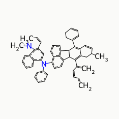 C=C/C=C\C(=C)C1=C2CC(C)C=CC2=C(C2=CC=CCC2)C2c3cccc4c(N(c5ccccc5)c5cc(/C=C\C)c(N=C)c6ccccc56)ccc(c34)C12